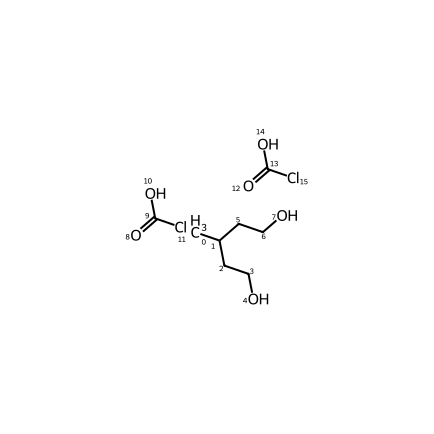 CC(CCO)CCO.O=C(O)Cl.O=C(O)Cl